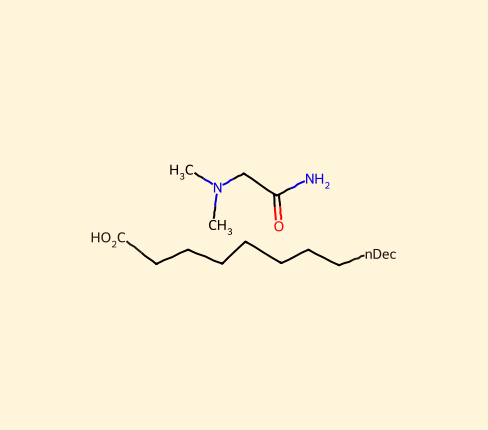 CCCCCCCCCCCCCCCCCC(=O)O.CN(C)CC(N)=O